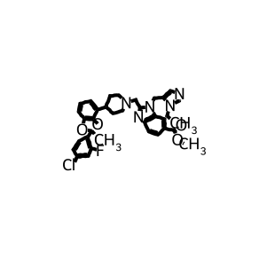 CCn1cncc1Cn1c(CN2CCC(c3cccc4c3OC(C)(c3ccc(Cl)cc3F)O4)CC2)nc2ccc(C(=O)OC)cc21